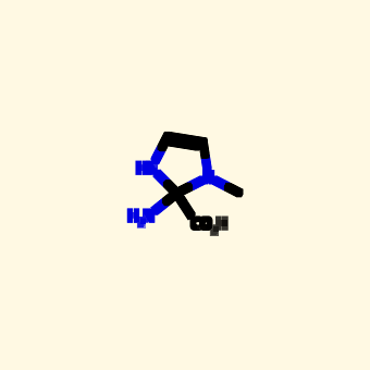 CN1C=CNC1(N)C(=O)O